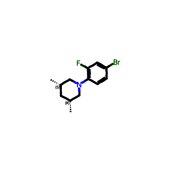 C[C@@H]1C[C@H](C)CN(c2ccc(Br)cc2F)C1